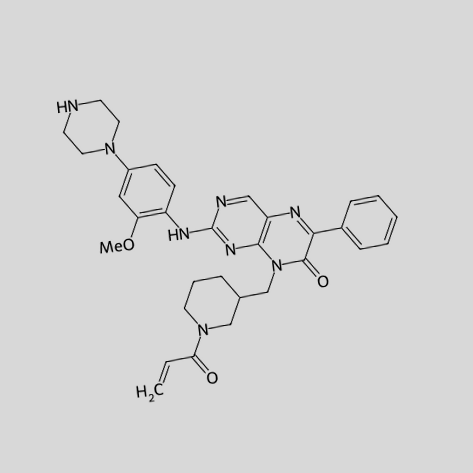 C=CC(=O)N1CCCC(Cn2c(=O)c(-c3ccccc3)nc3cnc(Nc4ccc(N5CCNCC5)cc4OC)nc32)C1